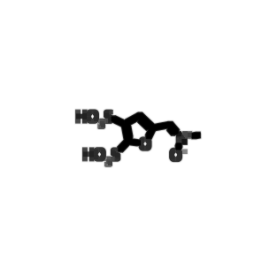 C[N+]([O-])=Cc1cc(S(=O)(=O)O)c(S(=O)(=O)O)o1